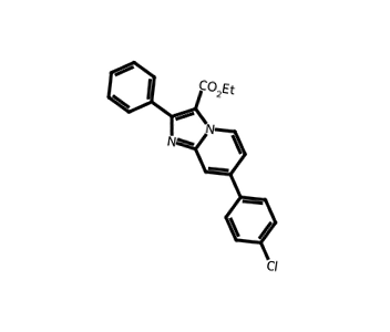 CCOC(=O)c1c(-c2ccccc2)nc2cc(-c3ccc(Cl)cc3)ccn12